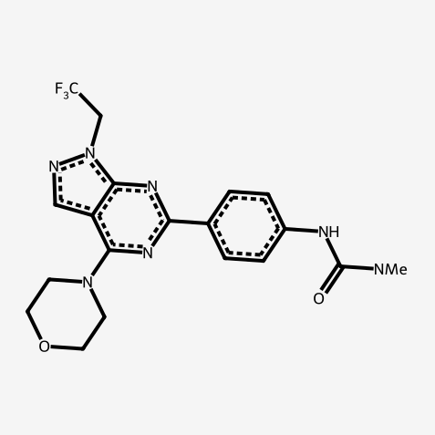 CNC(=O)Nc1ccc(-c2nc(N3CCOCC3)c3cnn(CC(F)(F)F)c3n2)cc1